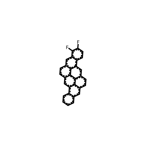 Fc1ccc2c(cc3ccc4cc5c6ccccc6cc6ccc7cc2c3c4c7c65)c1F